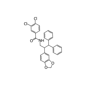 O=C(NCC(c1ccc2c(c1)OCO2)C(c1ccccc1)c1ccccc1)c1ccc(Cl)c(Cl)c1